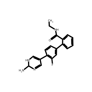 CCNC(=O)c1ccccc1-c1ccc(C2=CNC(N)N=C2)c(F)c1